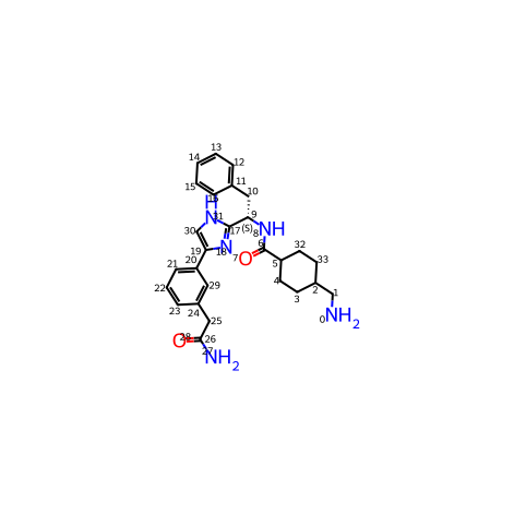 NCC1CCC(C(=O)N[C@@H](Cc2ccccc2)c2nc(-c3cccc(CC(N)=O)c3)c[nH]2)CC1